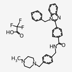 CN1CCN(Cc2ccc(CNC(=O)c3ccc(-c4nc5ccccc5n4Cc4ccccc4)cc3)cc2)CC1.O=C(O)C(F)(F)F